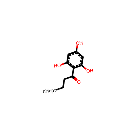 CCCCCCCCCC(=O)c1c(O)cc(O)cc1O